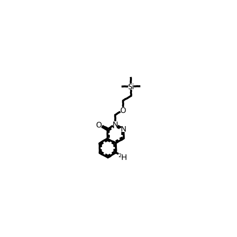 [2H]c1cccc2c(=O)n(COCC[Si](C)(C)C)ncc12